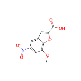 COc1cc([N+](=O)[O-])cc2cc(C(=O)O)oc12